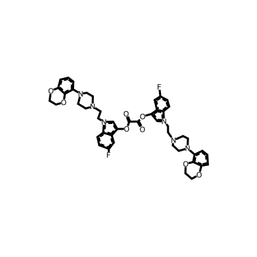 O=C(Oc1cn(CCN2CCN(c3cccc4c3OCCO4)CC2)c2ccc(F)cc12)C(=O)Oc1cn(CCN2CCN(c3cccc4c3OCCO4)CC2)c2ccc(F)cc12